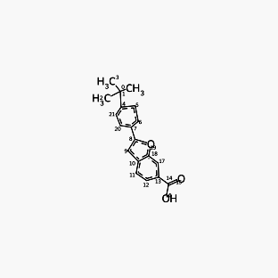 CC(C)(C)c1ccc(-c2cc3ccc(C(=O)O)cc3o2)cc1